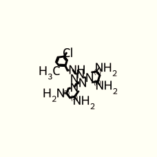 Cc1ccc(Cl)cc1CNc1nc(N2C[C@H](N)C[C@H](N)C2)nc(N2C[C@H](N)C[C@H](N)C2)n1